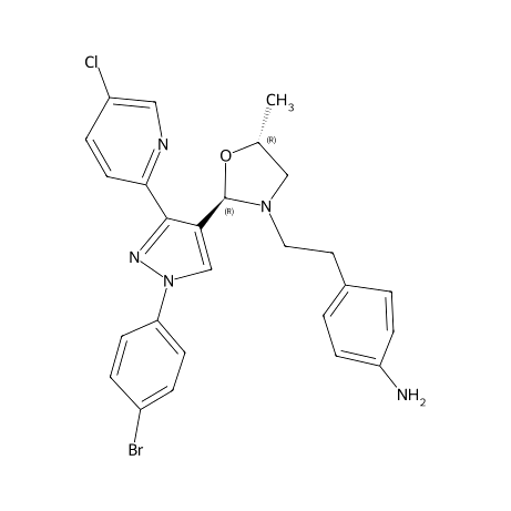 C[C@@H]1CN(CCc2ccc(N)cc2)[C@@H](c2cn(-c3ccc(Br)cc3)nc2-c2ccc(Cl)cn2)O1